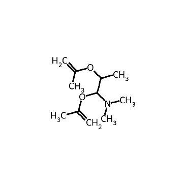 C=C(C)OC(C)C(OC(=C)C)N(C)C